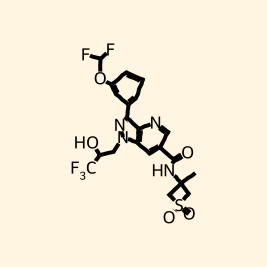 CC1(NC(=O)c2cnc3c(-c4cccc(OC(F)F)c4)nn(CC(O)C(F)(F)F)c3c2)CS(=O)(=O)C1